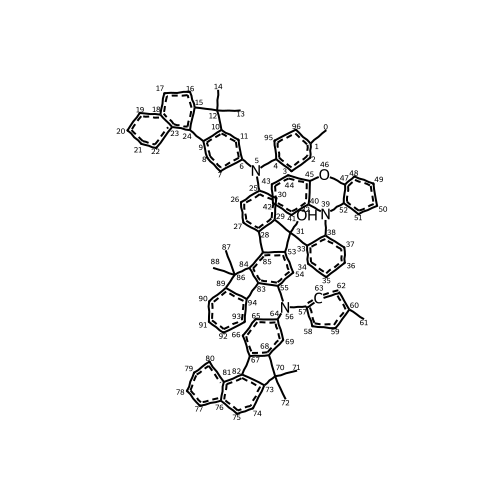 Cc1ccc(N(c2ccc3c(c2)C(C)(C)c2ccc4ccccc4c2-3)c2ccc3c(c2)C(O)(c2ccccc2N2c4ccccc4Oc4ccccc42)c2cc(N(c4ccc(C)cc4)c4ccc5c(c4)C(C)(C)c4ccc6ccccc6c4-5)c4c(c2-3)C(C)(C)c2ccccc2-4)cc1